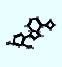 Cc1cc(Cl)ccc1-c1[c]nc2c(N3CCC3)ccnn12